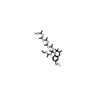 CCOC(C)OC(C)(OC(C)OC(C)OC(C)OC(C)OC(C)O)N1c2ccc(N)cc2CC(C)C1(C)C